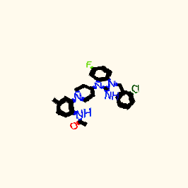 CC(=O)Nc1ccc(C)cc1N1CCC(n2c(=N)n(Cc3ccccc3Cl)c3ccc(F)cc32)CC1